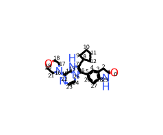 O=C1Cc2cc(C3=C(C4CCCC4)NC4C(N5CCOCC5)=NC=CN34)ccc2N1